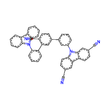 N#Cc1ccc2c(c1)c1ccc(C#N)cc1n2-c1cccc(-c2ccc(C#N)c(-c3ccccc3-n3c4ccccc4c4ccccc43)c2)c1